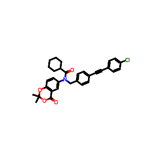 CC1(C)OC(=O)c2cc(N(Cc3ccc(C#Cc4ccc(Cl)cc4)cc3)C(=O)C3CCCCC3)ccc2O1